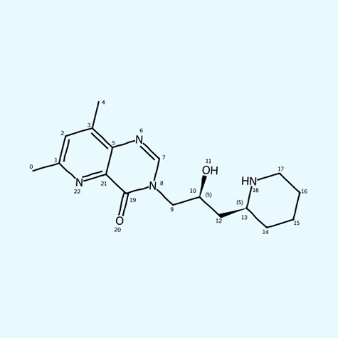 Cc1cc(C)c2ncn(C[C@@H](O)C[C@@H]3CCCCN3)c(=O)c2n1